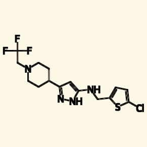 FC(F)(F)CN1CCC(c2cc(NCc3ccc(Cl)s3)[nH]n2)CC1